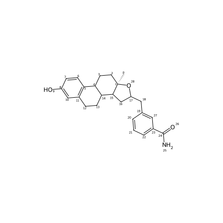 C[C@@]12CCC3c4ccc(O)cc4CCC3C1CC(Cc1cccc(C(N)=O)c1)O2